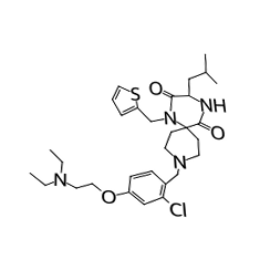 CCN(CC)CCOc1ccc(CN2CCC3(CC2)C(=O)NC(CC(C)C)C(=O)N3Cc2cccs2)c(Cl)c1